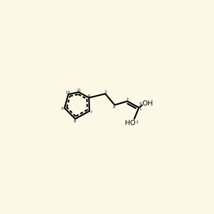 OC(O)=CCCc1ccccc1